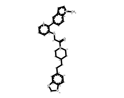 Cn1ccc2cc(-c3ncccc3OCC(=O)N3CCC(CCc4ccc5c(c4)OCO5)CC3)ccc21